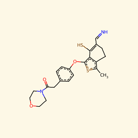 Cc1sc(Oc2ccc(CC(=O)N3CCOCC3)cc2)c2c1CCC(C=N)=C2S